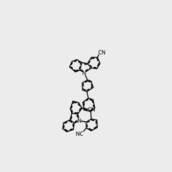 N#Cc1ccc2c(c1)c1ccccc1n2-c1ccc(-c2ccc(-c3cccc(C#N)c3-n3c4ccccc4c4cccc(C#N)c43)cc2)cc1